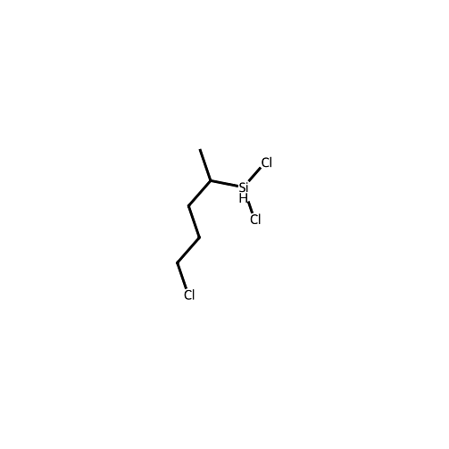 CC(CCCCl)[SiH](Cl)Cl